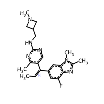 C/C=C(/c1cc(F)c2nc(C)n(C)c2c1)c1cnc(NCC2CN(C)C2)nc1C